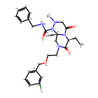 CCN1CC(=O)N2[C@@H](CC(C)C)C(=O)N(CCOCc3cccc(F)c3)C[C@@H]2N1C(=O)NCc1ccccc1